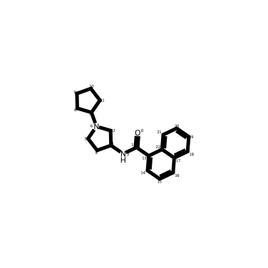 O=C(NC1CCN(C2CCCC2)C1)c1cccc2ccccc12